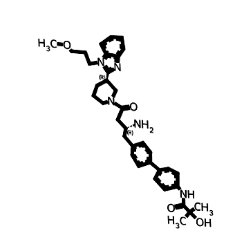 COCCCn1c([C@@H]2CCCN(C(=O)C[C@H](N)Cc3ccc(-c4ccc(NC(=O)C(C)(C)O)cc4)cc3)C2)nc2ccccc21